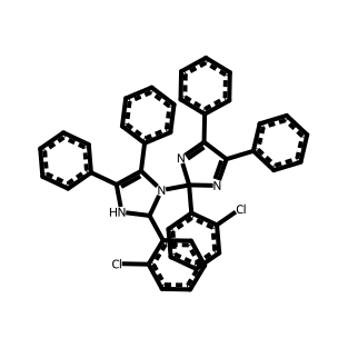 Clc1ccccc1C1NC(c2ccccc2)=C(c2ccccc2)N1C1(c2ccccc2Cl)N=C(c2ccccc2)C(c2ccccc2)=N1